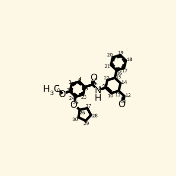 COc1ccc(C(=O)NC2=CC(C=O)CC(c3ccccc3)C2)cc1OC1CCCC1